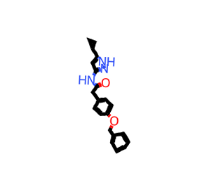 O=C(Cc1ccc(OCc2ccccc2)cc1)Nc1cc(C2CC2)[nH]n1